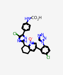 O=C(O)Nc1ccc(-c2[nH]c(C3CCCc4cc(-c5cc(Cl)ccc5-n5cnnn5)c[n+]([O-])c43)nc2Cl)cc1